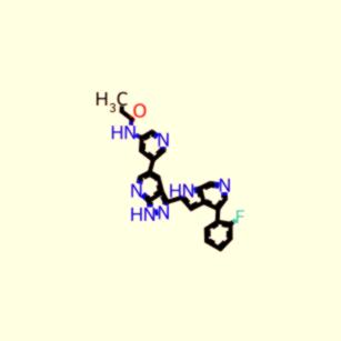 CCC(=O)Nc1cncc(-c2cnc3[nH]nc(-c4cc5c(-c6ccccc6F)cncc5[nH]4)c3c2)c1